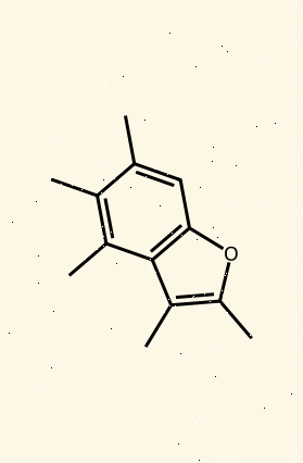 Cc1cc2oc(C)c(C)c2c(C)c1C